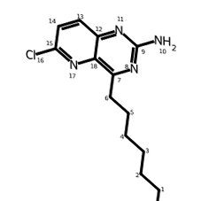 CCCCCCCc1nc(N)nc2ccc(Cl)nc12